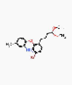 COC(CCCc1ccc(Br)cc1Oc1ccc(C)cc1N)OC